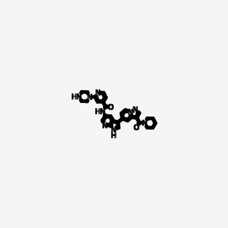 O=C(Nc1cnc2[nH]cc(-c3ccn4ncc(C(=O)N5CCCCC5)c4c3)c2c1)c1ccnc(N2CCNCC2)c1